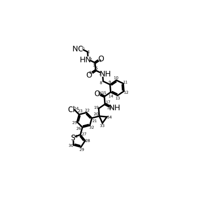 N#CCNC(=O)C(=O)NCc1ccccc1C(=O)C(=N)CC1(c2cc(Cl)cc(-c3cccs3)c2)CC1